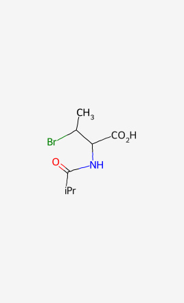 CC(C)C(=O)NC(C(=O)O)C(C)Br